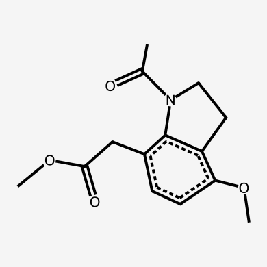 COC(=O)Cc1ccc(OC)c2c1N(C(C)=O)CC2